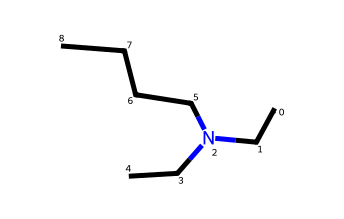 [CH2]CN(CC)CCCC